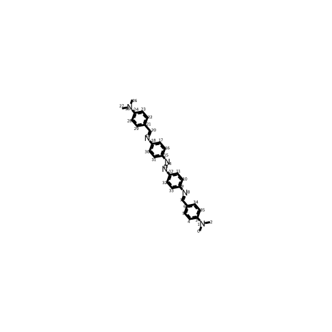 CN(C)c1ccc(/C=N/c2ccc(/N=N/c3ccc(/N=C/c4ccc(N(C)C)cc4)cc3)cc2)cc1